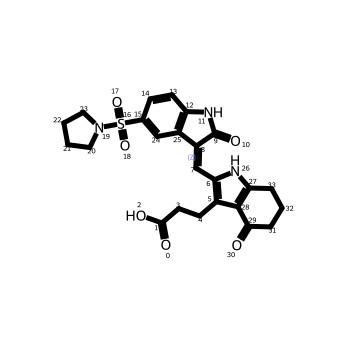 O=C(O)CCc1c(/C=C2\C(=O)Nc3ccc(S(=O)(=O)N4CCCC4)cc32)[nH]c2c1C(=O)CCC2